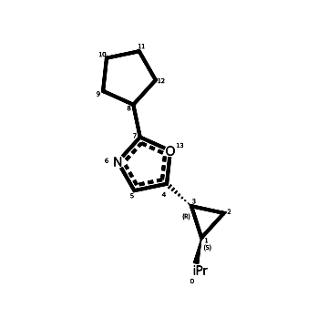 CC(C)[C@@H]1C[C@H]1c1cnc(C2CCCC2)o1